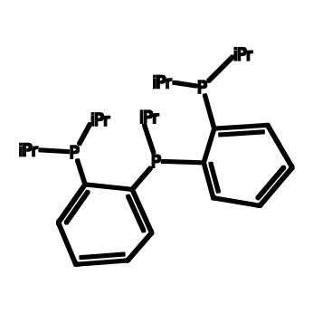 CC(C)P(c1ccccc1P(C(C)C)C(C)C)c1ccccc1P(C(C)C)C(C)C